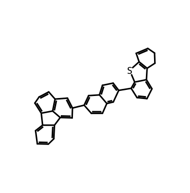 C1=Cc2sc3c(-c4ccc5cc(-c6cc7c8c(cccc8c6)-c6ccccc6-7)ccc5c4)cccc3c2CC1